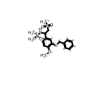 COc1ccc(C(CS(C)(=O)=O)N[Si](C)(C)C)cc1OCc1ccccc1